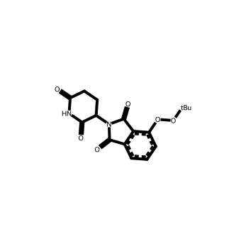 CC(C)(C)OOc1cccc2c1C(=O)N(C1CCC(=O)NC1=O)C2=O